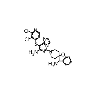 Nc1nc(N2CCC3(CC2)Oc2ccccc2C3N)n2ccnc2c1Sc1ccnc(Cl)c1Cl